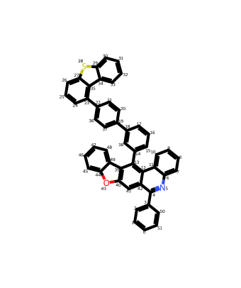 c1ccc(-c2nc3ccccc3c3c(-c4cccc(-c5ccc(-c6cccc7sc8ccccc8c67)cc5)c4)c4c(cc23)oc2ccccc24)cc1